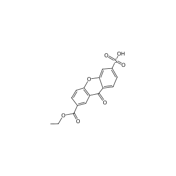 CCOC(=O)c1ccc2oc3cc(S(=O)(=O)O)ccc3c(=O)c2c1